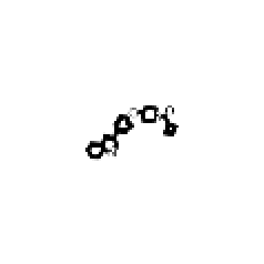 O=C(C1CCC1)N1CCC(Oc2ccc(C3=CC4=CCCCC4N=C3)cc2)CC1